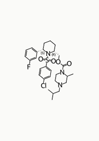 CC(C)CN1CCN(C(=O)OC[C@H]2CCC[C@@H](c3cccc(F)c3)N2S(=O)(=O)c2ccc(Cl)cc2)C(C)C1